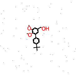 COc1cc(CO)cc(-c2ccc(C(C)(C)C)cc2)c1OC